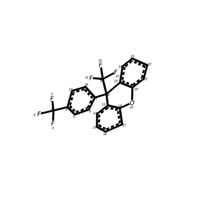 FC(F)(F)c1ccc(C2(C(F)(F)F)c3ccccc3Oc3ccccc32)cc1